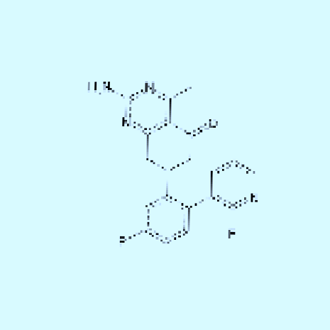 Cc1nc(N)nc2c1C(=O)CC(c1cc(F)ccc1-c1cccnc1F)C2